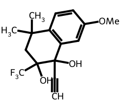 C#CC1(O)c2cc(OC)ccc2C(C)(C)CC1(O)C(F)(F)F